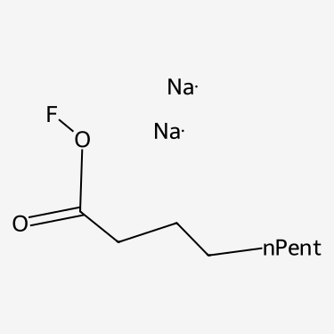 CCCCCCCCC(=O)OF.[Na].[Na]